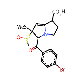 CSC1([S+](C)[O-])C=C2C(C(=O)O)CCN2C1C(=O)c1ccc(Br)cc1